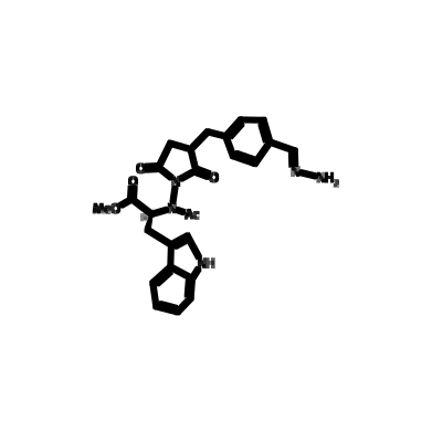 COC(=O)[C@H](Cc1c[nH]c2ccccc12)N(C(C)=O)N1C(=O)CC(Cc2ccc(C=NN)cc2)C1=O